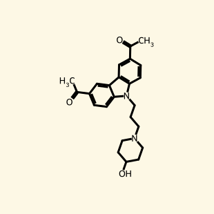 CC(=O)c1ccc2c(c1)c1cc(C(C)=O)ccc1n2CCCN1CCC(O)CC1